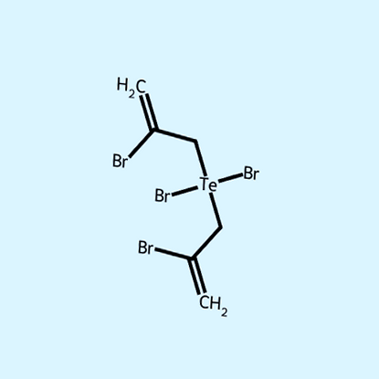 C=C(Br)C[Te](Br)(Br)CC(=C)Br